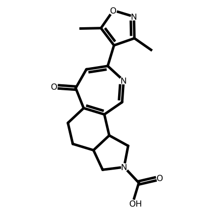 Cc1noc(C)c1-c1cc(=O)c2c(cn1)C1CN(C(=O)O)CC1CC2